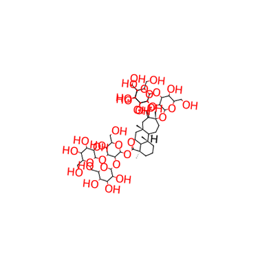 C=C1C[C@@]2(C)CCC3[C@](C)(C(=O)OC4OC(CO)C(O)C(OC5OC(CO)C(O)C(O)C5O)C4OC4OC(CO)C(O)C(O)C4O)CCC[C@@]3(C)[C@@H]2CC[C@@]1(C)OC1OC(CO)C(O)C(OC2OC(CO)C(O)C(O)C2O)C1OC1OC(CO)C(O)C(O)C1O